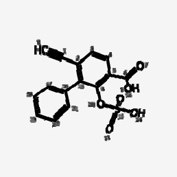 C#Cc1ccc(C(=O)O)c(OS(=O)(=O)O)c1-c1ccccc1